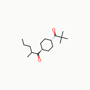 CCCC(C)C(=O)[C@H]1CC[C@H](C(=O)C(C)(C)C)CC1